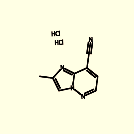 Cc1cn2nccc(C#N)c2n1.Cl.Cl